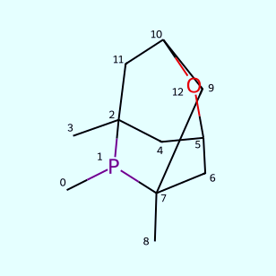 CP1C2(C)CC3CC1(C)CC(C2)O3